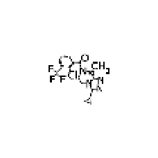 C[C@@H]1c2nnc(C3CC3)n2CCN1C(=O)c1cccc(C(F)(F)F)c1Cl